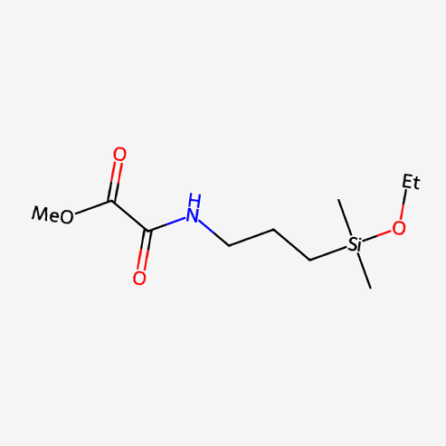 CCO[Si](C)(C)CCCNC(=O)C(=O)OC